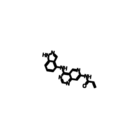 C=CC(=O)Nc1cc2ncnc(Nc3cccc4[nH]ncc34)c2cn1